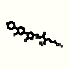 CSCCC(N)C(=O)NC[C@@H]1CN(c2ccc(N3CCOCC3)c(F)c2)C(=O)O1